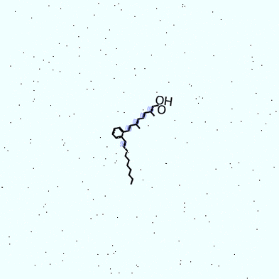 CCCCCCCC/C=C/c1ccccc1/C=C/C(C)=C/C=C/C(C)=C/C(=O)O